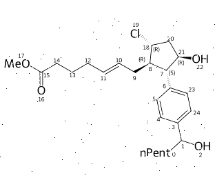 CCCCCC(O)c1ccc([C@@H]2[C@@H](CC=CCCCC(=O)OC)[C@H](Cl)C[C@H]2O)cc1